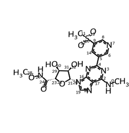 CNc1nc(-c2cncc(S(C)(=O)=O)c2)nc2c1ncn2[C@@H]1O[C@H](C(=O)NOC)[C@@H](O)[C@H]1O